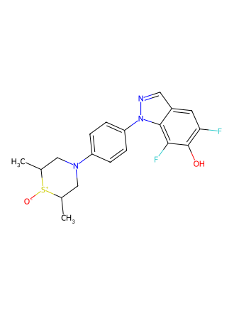 CC1CN(c2ccc(-n3ncc4cc(F)c(O)c(F)c43)cc2)CC(C)[S+]1[O-]